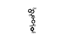 CCCCc1ccc(NC(=O)N2CCC(c3nc(C(=O)N4CCC(O)C5CCCC=C54)cs3)CC2)cc1